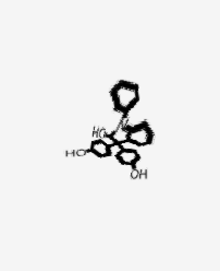 Oc1ccc(C2(c3ccc(O)cc3)c3ccccc3N(c3ccccc3)C2O)cc1